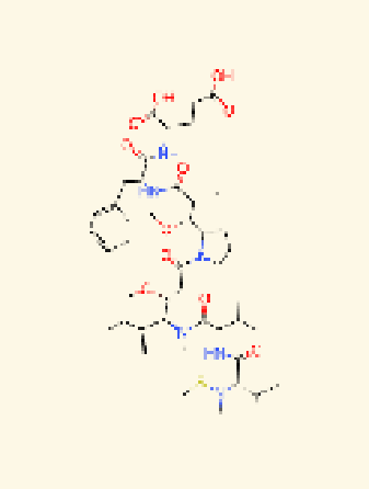 CC[C@H](C)[C@@H]([C@@H](CC(=O)N1CCC[C@H]1[C@H](OC)[C@@H](C)C(=O)N[C@@H](Cc1ccccc1)C(=O)NC(CCC(=O)O)C(=O)O)OC)N(C)C(=O)[C@@H](NC(=O)[C@H](C(C)C)N(C)SC)C(C)C